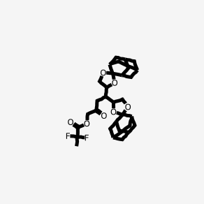 CC(F)(F)C(=O)OCC(=O)CC(C1COC2(O1)C1CC3CC(C1)CC2C3)C1COC2(O1)C1CC3CC(C1)CC2C3